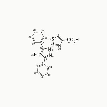 O=C(O)c1csc(-n2nc(-c3ccccc3)c(I)c2-c2ccccc2)n1